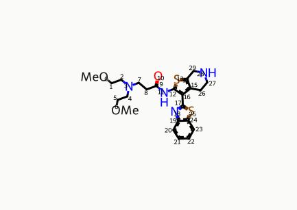 COCCN(CCOC)CCC(=O)Nc1sc2c(c1-c1nc3ccccc3s1)CCNC2